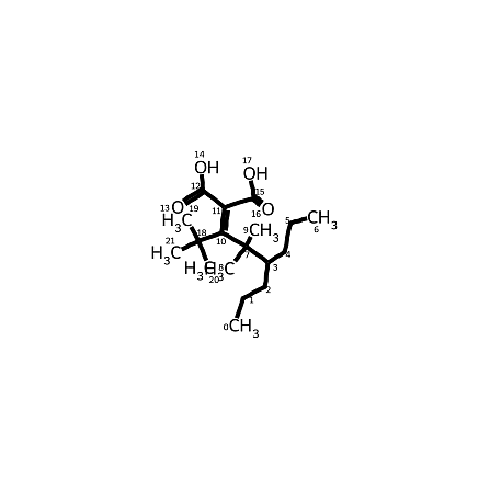 CCCC(CCC)C(C)(C)C(=C(C(=O)O)C(=O)O)C(C)(C)C